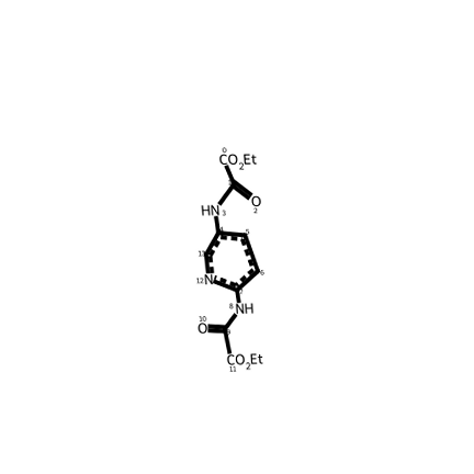 CCOC(=O)C(=O)Nc1ccc(NC(=O)C(=O)OCC)nc1